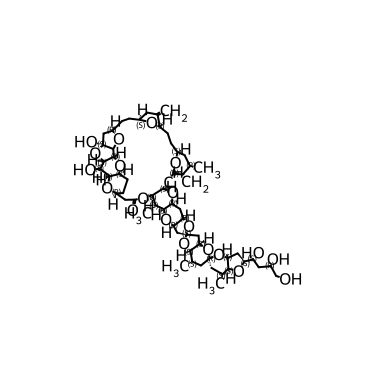 C=C1C[C@@H]2CC[C@@H]3C[C@]4(O)O[C@H]5[C@@H](O)[C@H]6O[C@H](CC[C@@H]6O[C@H]5C4O3)CC(=O)O[C@@H]3[C@@H](C)[C@@H]4O[C@@H]5C[C@]6(C[C@@H]7O[C@]8(C[C@H](C)[C@@H]9O[C@H]([C@@H](O)C[C@@H](O)CO)C[C@@H]9O8)C[C@H](C)[C@@H]7O6)O[C@@H]5C[C@@H]4O[C@H]3C[C@H]3O[C@@H](CC[C@@H]1O2)C[C@@H](C)C3=C